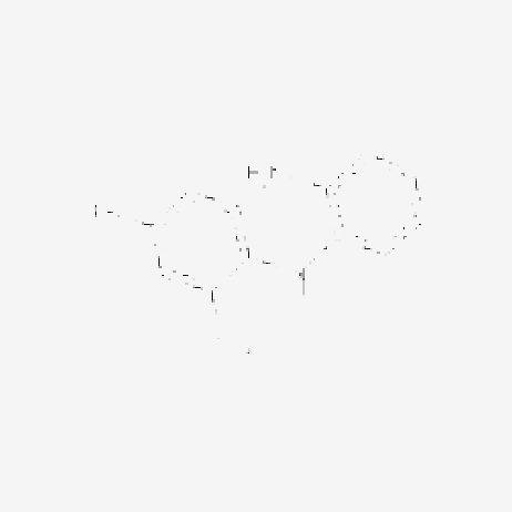 Cc1cc(Br)ccc1Nc1ccccc1N